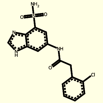 NS(=O)(=O)c1cc(NC(=O)Cc2ccccc2Cl)cc2[nH]cnc12